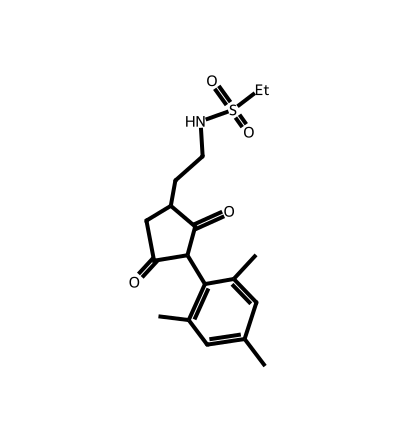 CCS(=O)(=O)NCCC1CC(=O)C(c2c(C)cc(C)cc2C)C1=O